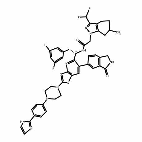 CC1CCc2c(C(F)F)nn(CC(=O)N[C@@H](Cc3cc(F)cc(F)c3)c3nc4nc(N5CCN(c6ccc(-c7ncc[nH]7)cc6)CC5)sc4cc3-c3ccc4c(c3)C(=O)NC4)c2C1